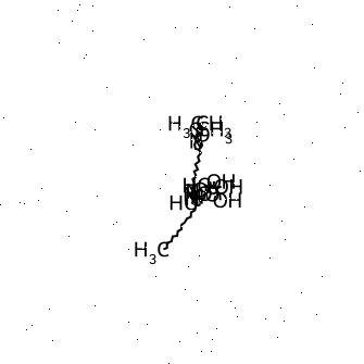 CCCCCCCCCCCCCC[C@@H](O)C[C@H](COC1OC(CO)C(O)C(O)C1O)n1nnn(CCCCCCCCCCC2CCN(CC(=O)OC(C)(C)C)CC2)c1=O